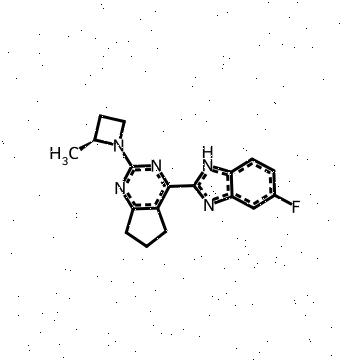 C[C@H]1CCN1c1nc2c(c(-c3nc4cc(F)ccc4[nH]3)n1)CCC2